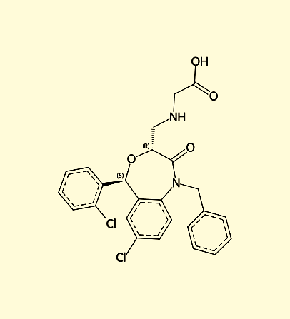 O=C(O)CNC[C@H]1O[C@H](c2ccccc2Cl)c2cc(Cl)ccc2N(Cc2ccccc2)C1=O